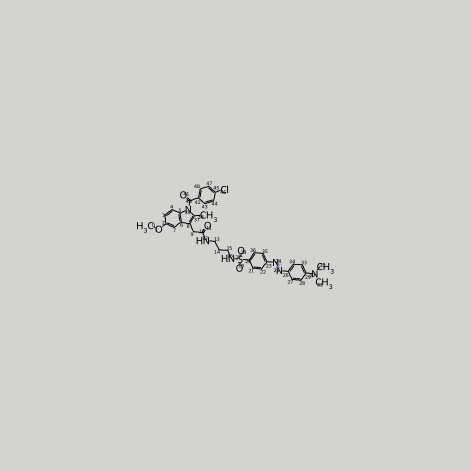 COc1ccc2c(c1)c(CC(=O)NCCCNS(=O)(=O)c1ccc(/N=N/c3ccc(N(C)C)cc3)cc1)c(C)n2C(=O)c1ccc(Cl)cc1